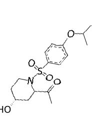 CC(=O)C1C[C@H](O)CCN1S(=O)(=O)c1ccc(OC(C)C)cc1